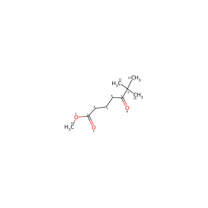 COC(=O)CCCC(=O)C(C)(C)C